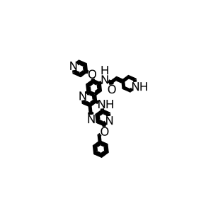 N#Cc1cnc2cc(Oc3ccncc3)c(NC(=O)C=C3CCNCC3)cc2c1Nc1ccc(OCc2ccccc2)nc1